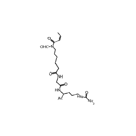 C/C=C\C(=O)N(C=O)CCCCCC(=O)NCC(=O)NC(CCCNC(N)=O)C(C)=O